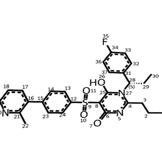 CCCCc1nc(=O)c(S(=O)(=O)c2ccc(-c3cccnc3C)cc2)c(O)n1[C@@H](CC)c1ccc(F)cc1